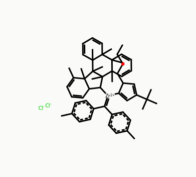 CCCCC1C=C(C(C)(C)C)C=[C]1[Zr+2](=[C](c1ccc(C)cc1)c1ccc(C)cc1)[CH]1C2C=CC=C(C)C2(C)C2(C)C3(C)C=CC=CC3(C)C3(C)C=CC=CC3(C)C12C.[Cl-].[Cl-]